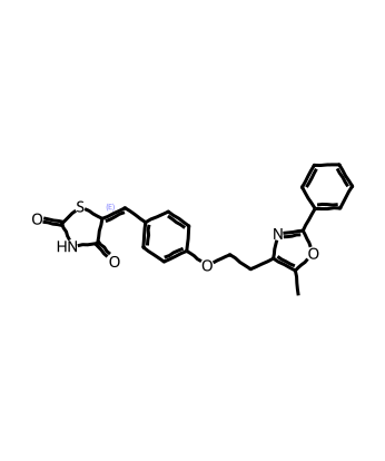 Cc1oc(-c2ccccc2)nc1CCOc1ccc(/C=C2/SC(=O)NC2=O)cc1